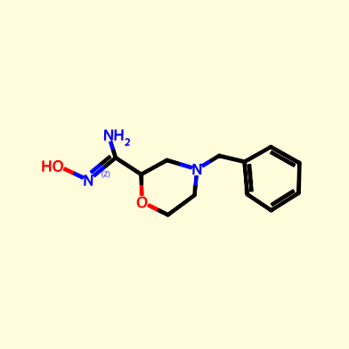 N/C(=N\O)C1CN(Cc2ccccc2)CCO1